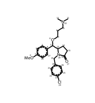 COc1ccc(C(OCCCN(C)C)C2CCC(=O)N2Cc2ccc(Cl)cc2)cc1